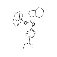 CCC(C)c1ccc(OC(OC23CC4CC(CC(C4)C2)C3)C2CCC3CCCCC32)cc1